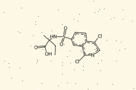 CCC(C)(NS(=O)(=O)c1ccc2c(Cl)cnc(Cl)c2c1)C(=O)O